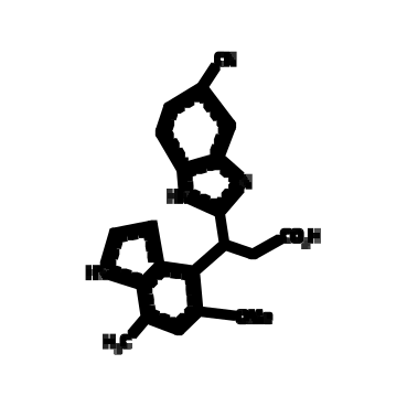 COc1cc(C)c2[nH]ccc2c1C(CC(=O)O)c1nc2cc(C#N)ccc2[nH]1